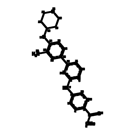 COC(=O)c1ccc(Nc2nccc(-c3ccc(OC4CCOCC4)c(N)c3)n2)cn1